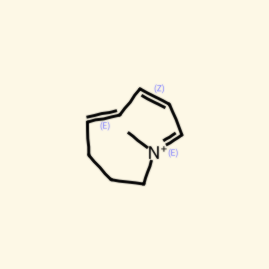 C\[N+]1=C/C=C\C=C\CCC1